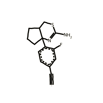 [C]#Cc1ccc(C23CCCC2CSC(N)=N3)c(F)c1